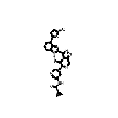 CC(=O)c1ccc(-c2cccc3[nH]c(-c4n[nH]c5cnc(-c6cncc(NC(=O)C7CC7)c6)c(F)c45)nc23)s1